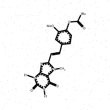 CCn1c(=O)c2c(nc(C=Cc3ccc(OC(=O)C(C)(C)C)c(OC)c3)n2C)n(CC)c1=O